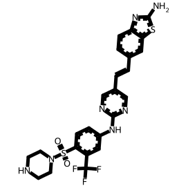 Nc1nc2ccc(/C=C/c3cnc(Nc4ccc(S(=O)(=O)N5CCNCC5)c(C(F)(F)F)c4)nc3)cc2s1